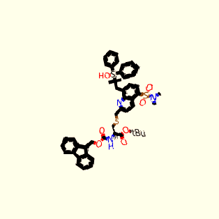 CN(C)S(=O)(=O)c1ccc(CC(C)(C)[Si](O)(c2ccccc2)c2ccccc2)c2nc(CSC[C@H](NC(=O)OCC3c4ccccc4-c4ccccc43)C(=O)OC(C)(C)C)ccc12